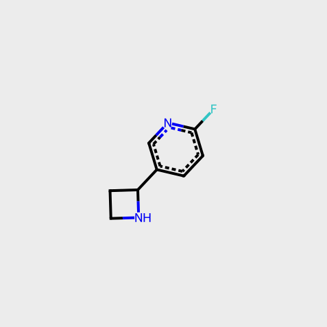 Fc1ccc(C2CCN2)cn1